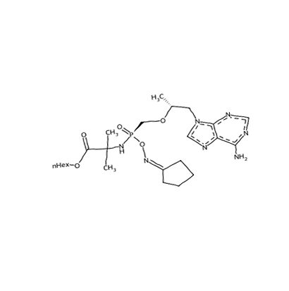 CCCCCCOC(=O)C(C)(C)N[P@@](=O)(CO[C@H](C)Cn1cnc2c(N)ncnc21)ON=C1CCCC1